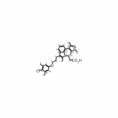 Cc1cc(OCCCc2c(C)n(CCC(=O)O)c3c(-c4c(C)nn(C)c4C)cccc23)cc(C)c1Cl